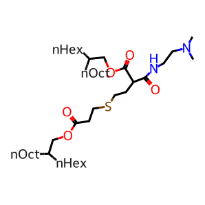 CCCCCCCCC(CCCCCC)COC(=O)CCSCCC(C(=O)NCCN(C)C)C(=O)OCC(CCCCCC)CCCCCCCC